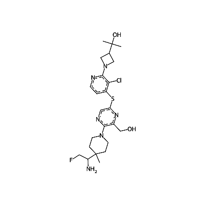 CC(C)(O)C1CN(c2nccc(Sc3cnc(N4CCC(C)(C(N)CF)CC4)c(CO)n3)c2Cl)C1